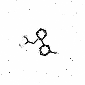 CC(O)Cc1ccccc1-c1cccc(Br)c1